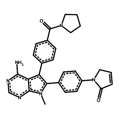 Cn1c(-c2ccc(N3CC=CC3=O)cc2)c(-c2ccc(C(=O)N3CCCC3)cc2)c2c(N)ncnc21